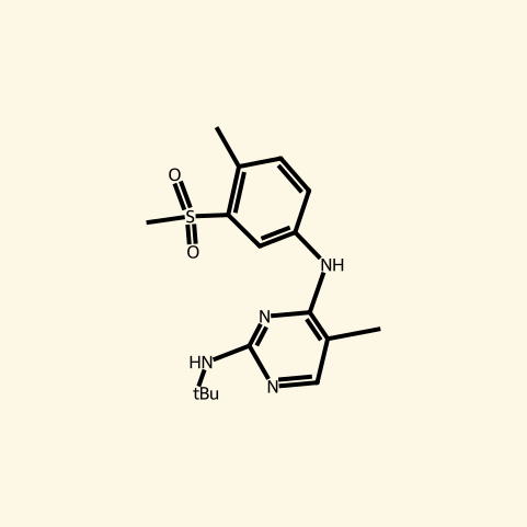 Cc1ccc(Nc2nc(NC(C)(C)C)ncc2C)cc1S(C)(=O)=O